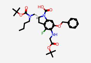 CCCCN(C[C@H]1Cc2c(cc(OCc3ccccc3)c(NCC(=O)OC(C)(C)C)c2F)N1C(=O)O)C(=O)OC(C)(C)C